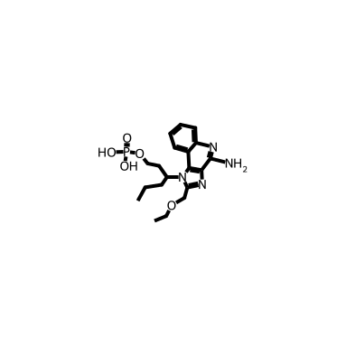 CCCC(CCOP(=O)(O)O)n1c(COCC)nc2c(N)nc3ccccc3c21